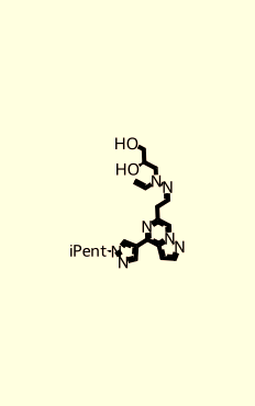 C=CN(C[C@@H](O)CO)/N=C\Cc1cn2nccc2c(-c2cnn([C@@H](C)CCC)c2)n1